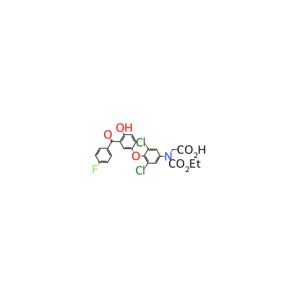 CCOC(=O)N(CC(=O)O)c1cc(Cl)c(Oc2ccc(O)c(C(=O)c3ccc(F)cc3)c2)c(Cl)c1